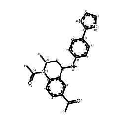 CC(=O)c1ccc2c(c1)C(Nc1ccc(-c3ncco3)cc1)CC(C)N2C(C)=O